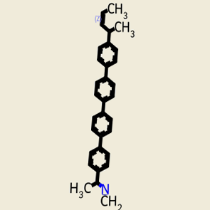 C=NC(C)c1ccc(-c2ccc(-c3ccc(-c4ccc(C(C)/C=C\C)cc4)cc3)cc2)cc1